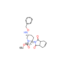 CC(C)(C)OC(=O)N1C[C@H](NOCc2ccccc2)CC[C@]1(C(=O)O)N1C(=O)C2CC=CCC2C1=O